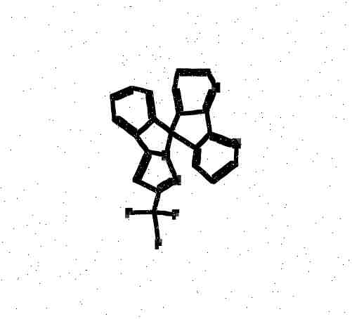 FC(F)(F)c1cc2n(n1)C1(c3ccccc3-2)c2cccnc2-c2ncccc21